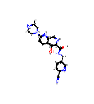 C[C@H]1CN(c2ccc3c(O)c(C(=O)NCc4ccc(C#N)nc4)ncc3n2)CCN1